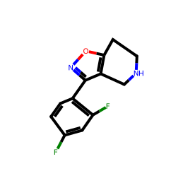 Fc1ccc(-c2noc3c2CNCC3)c(F)c1